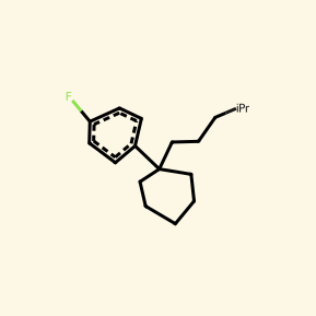 CC(C)CCCC1(c2ccc(F)cc2)CCCCC1